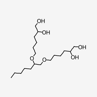 CCCCCC(COCCCCC(O)CO)OCCCCC(O)CO